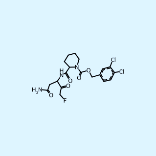 NC(=O)CC(NC(=O)C1CCCCN1C(=O)OCc1ccc(Cl)c(Cl)c1)C(=O)CF